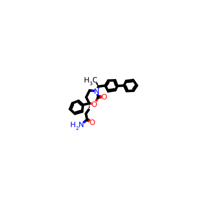 C[C@@H](c1ccc(-c2ccccc2)cc1)N1CC[C@](CCC(N)=O)(c2ccccc2)OC1=O